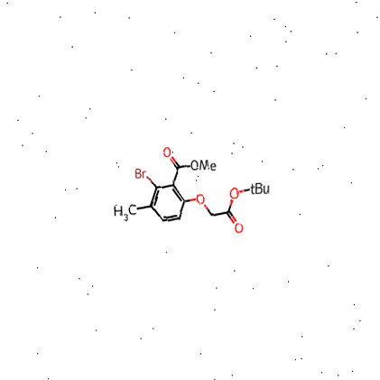 COC(=O)c1c(OCC(=O)OC(C)(C)C)ccc(C)c1Br